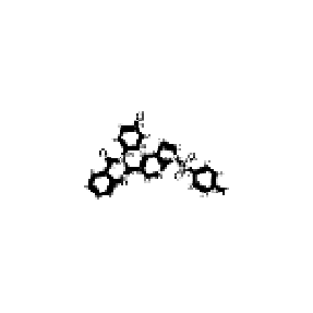 O=c1c2ccccc2nc(-c2cnc3c(ccn3S(=O)(=O)c3ccc(F)cc3)c2)n1-c1ccc(Cl)cc1